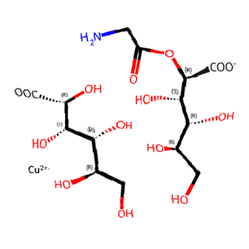 NCC(=O)O[C@@H](C(=O)[O-])[C@@H](O)[C@H](O)[C@H](O)CO.O=C([O-])[C@H](O)[C@@H](O)[C@H](O)[C@H](O)CO.[Cu+2]